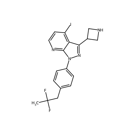 CC(F)(F)Cc1ccc(-n2nc(C3CNC3)c3c(I)ccnc32)cc1